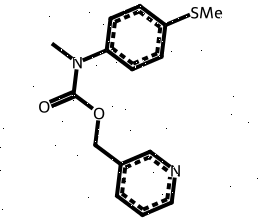 CSc1ccc(N(C)C(=O)OCc2cccnc2)cc1